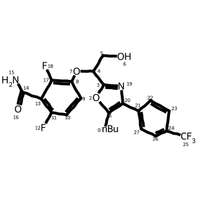 CCCCc1oc(C(CO)Oc2ccc(F)c(C(N)=O)c2F)nc1-c1ccc(C(F)(F)F)cc1